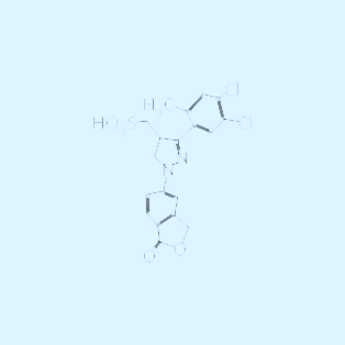 Cc1cc(Cl)c(Cl)cc1C1=NN(c2ccc3c(c2)COC3=O)CC1CS(=O)(=O)O